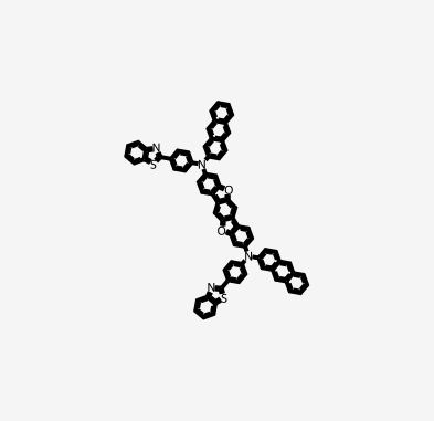 c1ccc2cc3cc(N(c4ccc(-c5nc6ccccc6s5)cc4)c4ccc5c(c4)oc4cc6c(cc45)oc4cc(N(c5ccc(-c7nc8ccccc8s7)cc5)c5ccc7cc8ccccc8cc7c5)ccc46)ccc3cc2c1